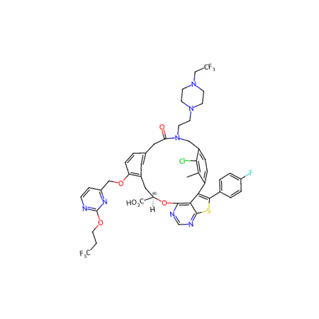 Cc1c2ccc(c1Cl)CN(CCN1CCN(CC(F)(F)F)CC1)C(=O)Cc1ccc(OCc3ccnc(OCCC(F)(F)F)n3)c(c1)C[C@H](C(=O)O)Oc1ncnc3sc(-c4ccc(F)cc4)c-2c13